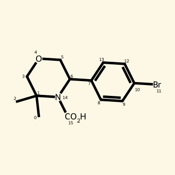 CC1(C)COCC(c2ccc(Br)cc2)N1C(=O)O